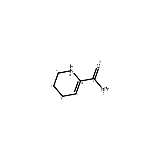 CCCC(=O)C1=CCCCN1